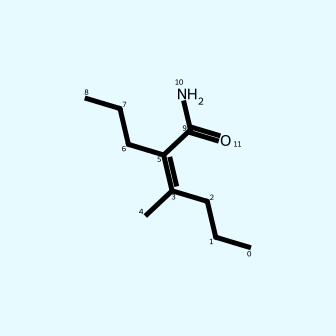 CCC/C(C)=C(/CCC)C(N)=O